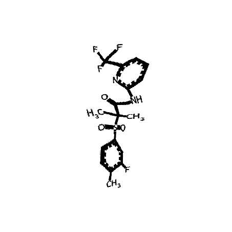 Cc1ccc(S(=O)(=O)C(C)(C)C(=O)Nc2cccc(C(F)(F)F)n2)cc1F